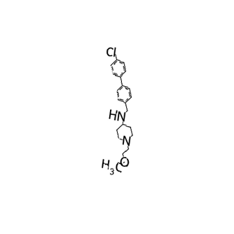 COCCN1CCC(NCc2ccc(-c3ccc(Cl)cc3)cc2)CC1